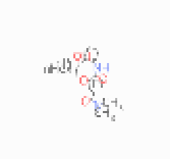 CCCCCCC1COC(CC)(CCC(=O)N(C)C)C(=O)Nc2ccccc2C1(O)CCC